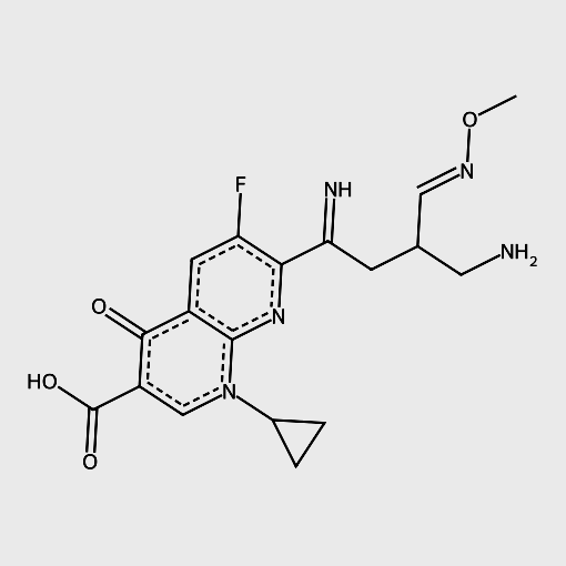 CON=CC(CN)CC(=N)c1nc2c(cc1F)c(=O)c(C(=O)O)cn2C1CC1